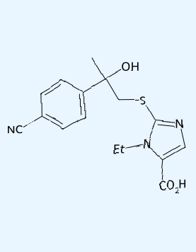 CCn1c(C(=O)O)cnc1SCC(C)(O)c1ccc(C#N)cc1